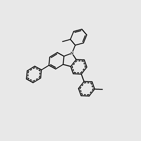 Cc1cccc(-c2ccc3c(c2)C2C=C(c4ccccc4)C=CC2N3C2C=CC=CC2C)c1